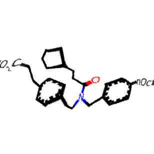 CCCCCCCCc1ccc(CN(Cc2ccc(CCC(=O)O)cc2)C(=O)CCC2CCCC2)cc1